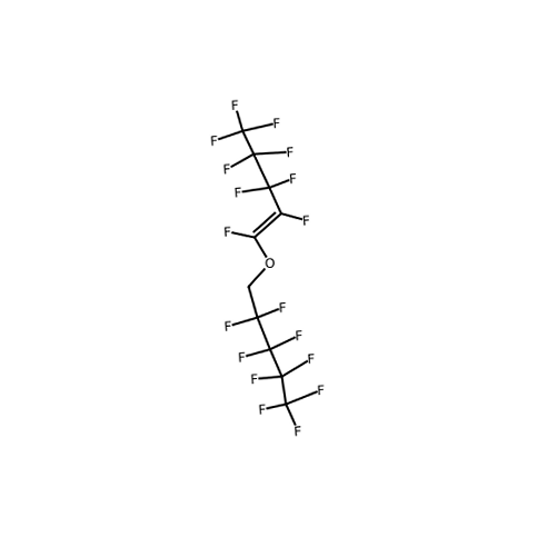 FC(OCC(F)(F)C(F)(F)C(F)(F)C(F)(F)F)=C(F)C(F)(F)C(F)(F)C(F)(F)F